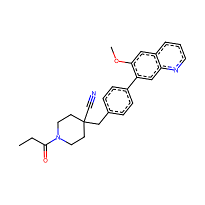 CCC(=O)N1CCC(C#N)(Cc2ccc(-c3cc4ncccc4cc3OC)cc2)CC1